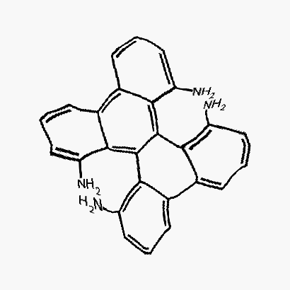 Nc1cccc2c3cccc(N)c3c3c4c(N)cccc4c4cccc(N)c4c3c12